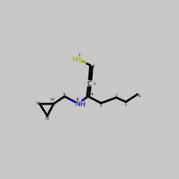 CCCCC(=C=CS)NCC1CC1